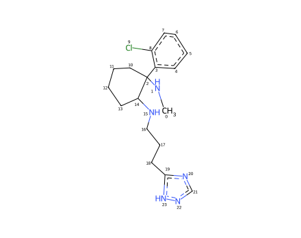 CNC1(c2ccccc2Cl)CCCCC1NCCCc1ncn[nH]1